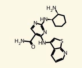 NC(=O)c1cnc(N[C@@H]2CCCC[C@@H]2N)nc1Nc1csc2ncccc12